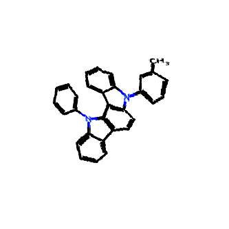 Cc1cccc(-n2c3ccccc3c3c2ccc2c4ccccc4n(-c4ccccc4)c23)c1